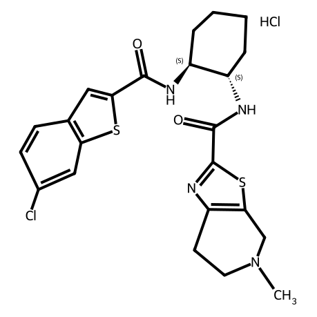 CN1CCc2nc(C(=O)N[C@H]3CCCC[C@@H]3NC(=O)c3cc4ccc(Cl)cc4s3)sc2C1.Cl